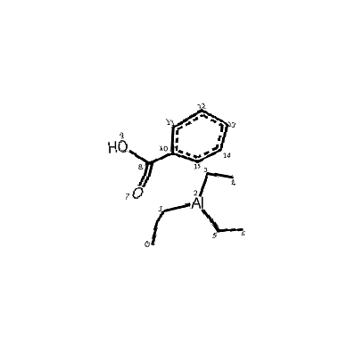 C[CH2][Al]([CH2]C)[CH2]C.O=C(O)c1ccccc1